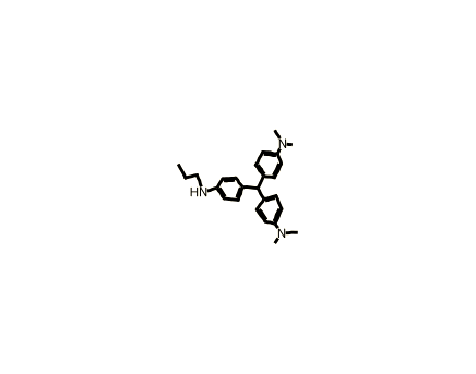 CCCNc1ccc(C(c2ccc(N(C)C)cc2)c2ccc(N(C)C)cc2)cc1